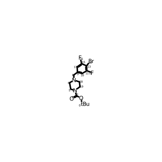 CC(C)(C)OC(=O)N1CCN(Cc2cc(F)c(Br)c(F)c2)CC1